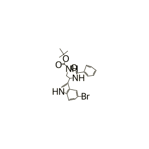 CC(C)(C)OC(=O)NCC(NC(=O)c1ccccc1)c1c[nH]c2ccc(Br)cc12